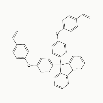 C=Cc1ccc(Oc2ccc(C3(c4ccc(Oc5ccc(C=C)cc5)cc4)c4ccccc4-c4ccccc43)cc2)cc1